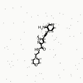 Cn1nc(C(=O)NCCN2CCOCC2)cc1C#Cc1ccncc1N